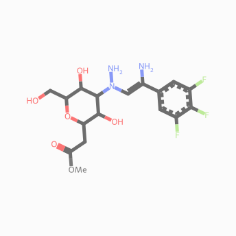 COC(=O)CC1OC(CO)C(O)C(N(N)/C=C(\N)c2cc(F)c(F)c(F)c2)C1O